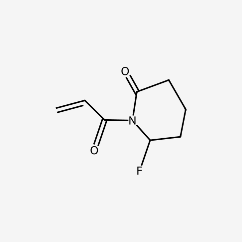 C=CC(=O)N1C(=O)CCCC1F